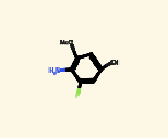 COc1cc(C#N)cc(F)c1N